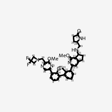 COc1nc(-c2cccc(-c3cccc(-c4cc5c(c(OC)n4)C(NCC4CCC(=O)N4)CC5)c3Cl)c2Cl)cnc1CN1CC(F)(F)C1